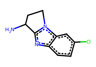 NC1CCn2c1nc1ccc(Cl)cc12